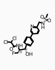 CS(=O)(=O)NCc1ccc(-c2ccc([C@H](O)[C@@H](CF)NC(=O)C(Cl)Cl)cc2)cn1